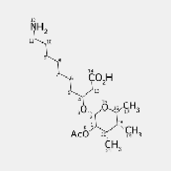 CC(=O)OC1[C@H](OC(CCCCCCCN)CC(=O)O)OC(C)[C@H](C)[C@@H]1C